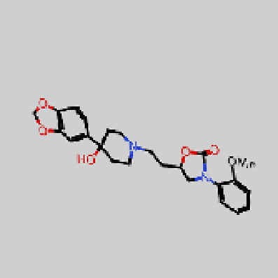 COc1ccccc1N1CC(CCN2CCC(O)(c3ccc4c(c3)OCO4)CC2)OC1=O